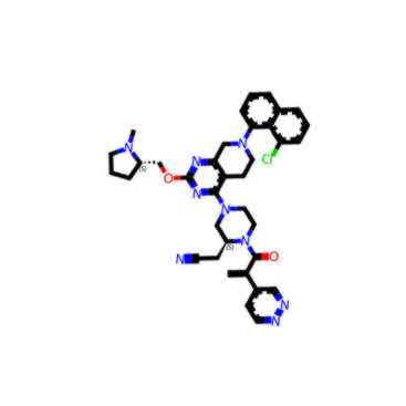 C=C(C(=O)N1CCN(c2nc(OC[C@@H]3CCCN3C)nc3c2CCN(c2cccc4cccc(Cl)c24)C3)C[C@@H]1CC#N)c1ccnnc1